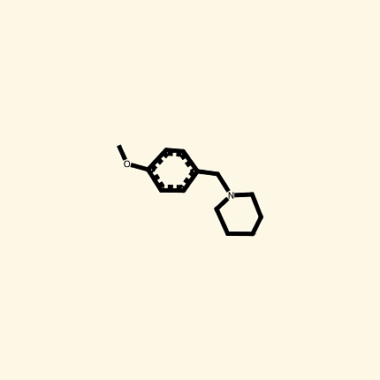 COc1ccc(CN2CC[CH]CC2)cc1